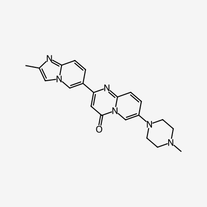 Cc1cn2cc(-c3cc(=O)n4cc(N5CCN(C)CC5)ccc4n3)ccc2n1